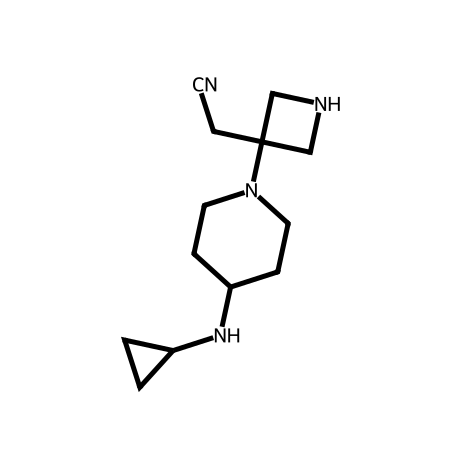 N#CCC1(N2CCC(NC3CC3)CC2)CNC1